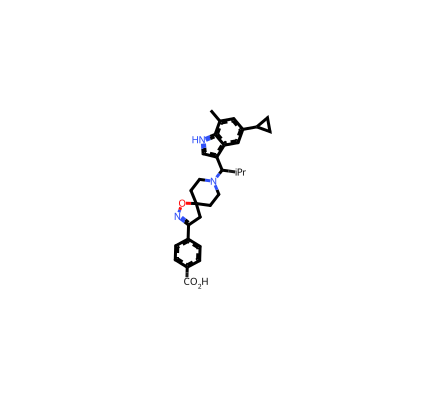 Cc1cc(C2CC2)cc2c(C(C(C)C)N3CCC4(CC3)CC(c3ccc(C(=O)O)cc3)=NO4)c[nH]c12